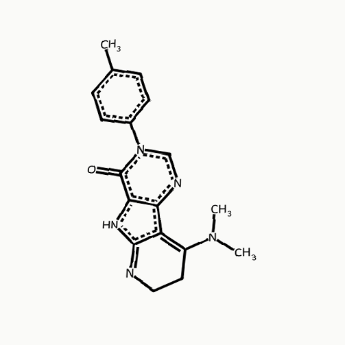 Cc1ccc(-n2cnc3c4c([nH]c3c2=O)=NCCC=4N(C)C)cc1